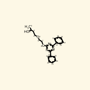 CC(O)CCOCCOc1nc(-c2ccccc2)nc(-c2ccccc2)n1